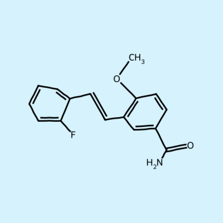 COc1ccc(C(N)=O)cc1/C=C/c1ccccc1F